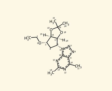 CCO[C@H]1C[C@@H](n2nnc3c(C)nc(C)nc32)[C@@H]2OC(C)(C)O[C@@H]21